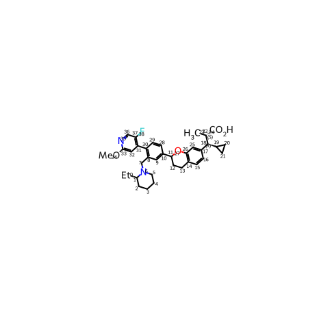 CCC1CCCCN1Cc1cc(C2CCc3ccc([C@H](C4CC4)[C@H](C)C(=O)O)cc3O2)ccc1-c1cc(OC)ncc1F